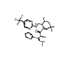 CN/C=C(\C(=N)C(=O)N1CC(F)(F)CC(C)C1CNc1ncc(C(F)(F)F)cn1)c1ccccn1